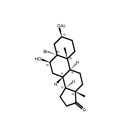 CC(=O)O[C@H]1CC[C@]2(C)[C@H]3CC[C@]4(C)C(=O)CC[C@H]4[C@@H]3C[C@@H](O)[C@@]2(Br)C1